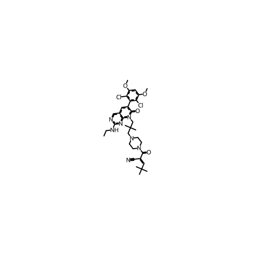 CCNc1ncc2cc(-c3c(Cl)c(OC)cc(OC)c3Cl)c(=O)n(CC(C)(C)CN3CCN(C(=O)C(C#N)=CC(C)(C)C)CC3)c2n1